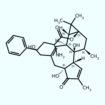 CC1=C[C@H]2[C@@]3(O)[C@H](C)C[C@]4(OC(=O)C(N)CCc5ccccc5)[C@H]([C@@H]3C=C(CO)C[C@]2(O)C1=O)C4(C)C